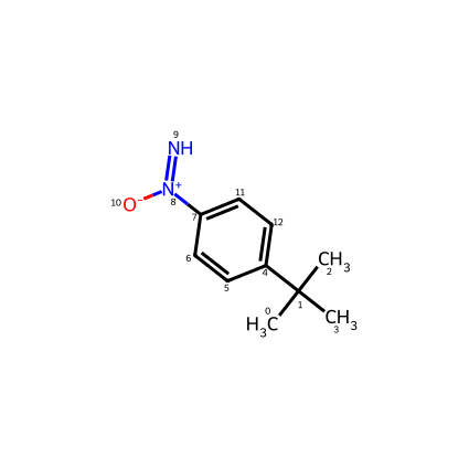 CC(C)(C)c1ccc([N+](=N)[O-])cc1